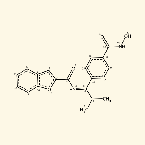 CC(C)[C@@H](NC(=O)c1cc2ccccc2o1)c1ccc(C(=O)NO)cc1